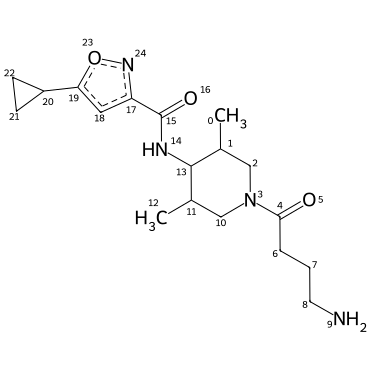 CC1CN(C(=O)CCCN)CC(C)C1NC(=O)c1cc(C2CC2)on1